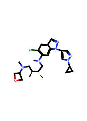 C[C@@H](CN(C)c1cc2c(cnn2-c2cnn(C3CC3)c2)cc1Cl)[C@@H](C)CN(C)C1COC1